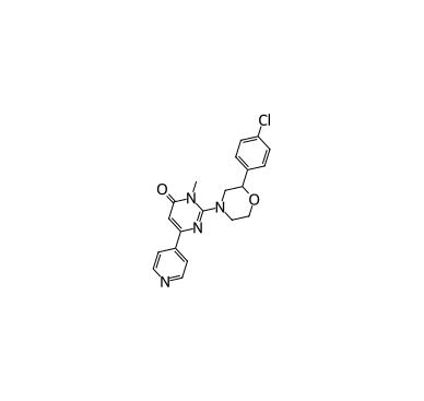 Cn1c(N2CCOC(c3ccc(Cl)cc3)C2)nc(-c2ccncc2)cc1=O